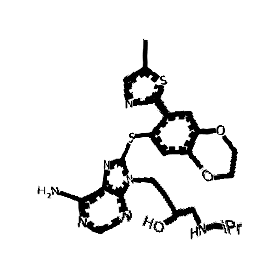 Cc1cnc(-c2cc3c(cc2Sc2nc4c(N)ncnc4n2CC(O)CNC(C)C)OCCO3)s1